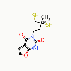 C[C@](S)(CS)CCn1c(=O)[nH]c2occc2c1=O